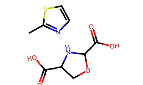 Cc1nccs1.O=C(O)C1COC(C(=O)O)N1